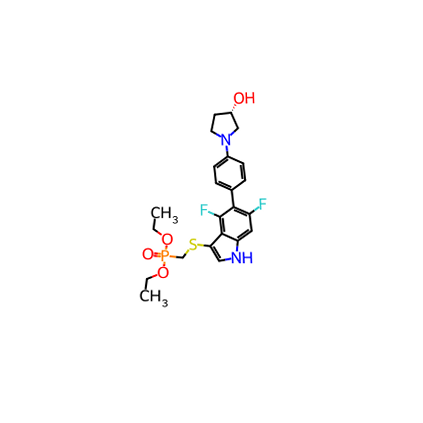 CCOP(=O)(CSc1c[nH]c2cc(F)c(-c3ccc(N4CC[C@H](O)C4)cc3)c(F)c12)OCC